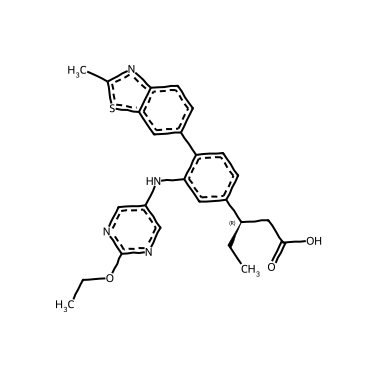 CCOc1ncc(Nc2cc([C@H](CC)CC(=O)O)ccc2-c2ccc3nc(C)sc3c2)cn1